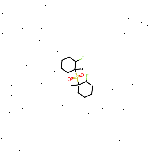 CC1(S(=O)(=O)C2(C)CCCCC2F)CCCCC1F